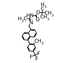 C/C(=N\Cc1cccc2c(-c3ccc(C(F)(F)F)cc3C)cccc12)NC(=O)OC(C)(C)C